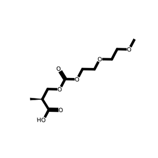 COCCOCCOC(=O)OC[C@H](C)C(=O)O